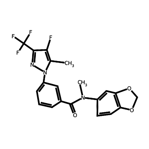 Cc1c(F)c(C(F)(F)F)nn1-c1cccc(C(=O)N(C)c2ccc3c(c2)OCO3)c1